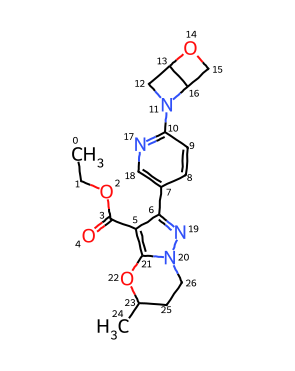 CCOC(=O)c1c(-c2ccc(N3CC4OCC43)nc2)nn2c1OC(C)CC2